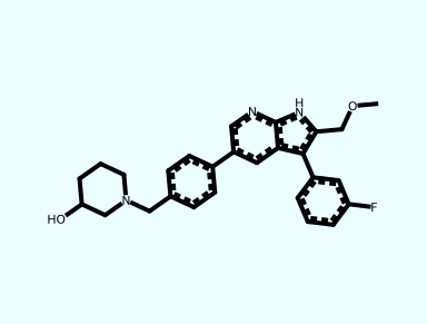 COCc1[nH]c2ncc(-c3ccc(CN4CCCC(O)C4)cc3)cc2c1-c1cccc(F)c1